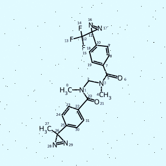 CN(CN(C)C(=O)c1ccc(C2(C(F)(F)F)N=N2)cc1)C(=O)c1ccc(C2(C)N=N2)cc1